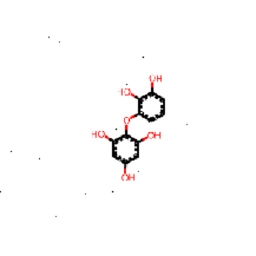 Oc1cc(O)c(Oc2cccc(O)c2O)c(O)c1